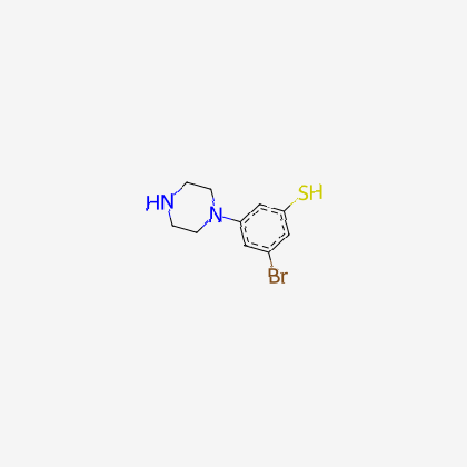 Sc1cc(Br)cc(N2CCNCC2)c1